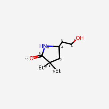 CCC1(CC)CC(CCO)NC1=O